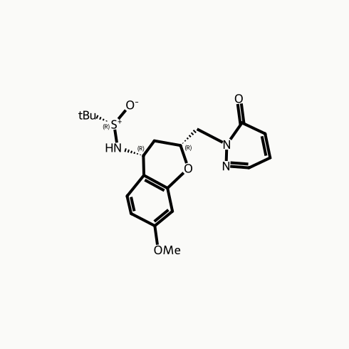 COc1ccc2c(c1)O[C@@H](Cn1ncccc1=O)C[C@H]2N[S@@+]([O-])C(C)(C)C